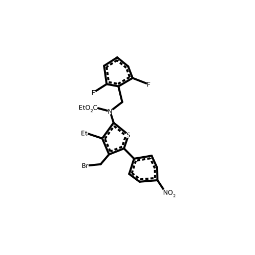 CCOC(=O)N(Cc1c(F)cccc1F)c1sc(-c2ccc([N+](=O)[O-])cc2)c(CBr)c1CC